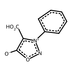 O=C(O)c1c([O-])on[n+]1-c1ccccc1